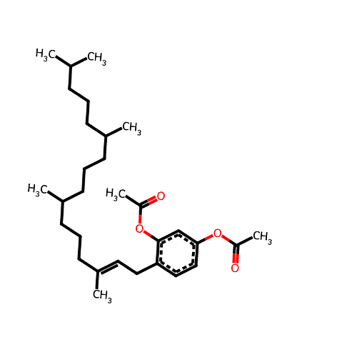 CC(=O)Oc1ccc(C/C=C(\C)CCCC(C)CCCC(C)CCCC(C)C)c(OC(C)=O)c1